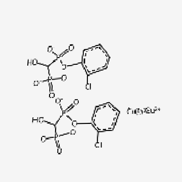 O=P([O-])([O-])C(O)P(=O)([O-])Oc1ccccc1Cl.O=P([O-])([O-])C(O)P(=O)([O-])Oc1ccccc1Cl.[Cu+2].[Cu+2].[Cu+2]